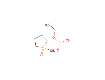 CCO[PH](=O)O.CP1(=O)CCCC1